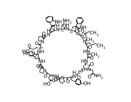 CCCC[C@H]1C(=O)N(C)[C@@H](CCCC)C(=O)N[C@@H](C)C(=O)N[C@H](C(=O)NCC(N)=O)CSCC(=O)N[C@@H](Cc2ccc(O)cc2)C(=O)N2CCC[C@H]2C(=O)N[C@@H](CC(=O)O)C(=O)N2CCC[C@H]2C(=O)N[C@@H](Cc2c[nH]cn2)C(=O)N[C@@H](CCC(=O)O)C(=O)N2CCC[C@H]2C(=O)N[C@@H](Cc2c[nH]c3ccccc23)C(=O)N[C@@H](CCN)C(=O)N[C@@H](Cc2c[nH]c3ccccc23)C(=O)N1C